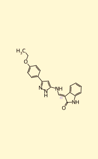 CCOc1ccc(-c2cc(N/C=C3/C(=O)Nc4ccccc43)[nH]n2)cc1